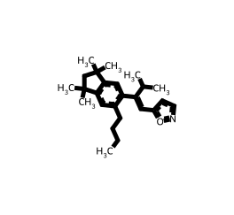 CCCCc1cc2c(cc1C(=Cc1ccno1)C(C)C)C(C)(C)CC2(C)C